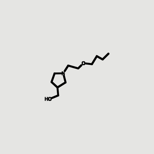 CCCCOCCN1CCC(CO)C1